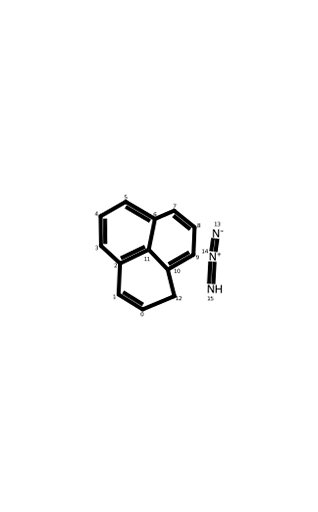 C1=Cc2cccc3cccc(c23)C1.[N-]=[N+]=N